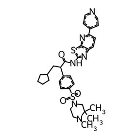 CN1CCN(S(=O)(=O)c2ccc(C(CC3CCCC3)C(=O)Nc3nc4ccc(-c5ccncc5)nc4s3)cc2)CC1(C)C